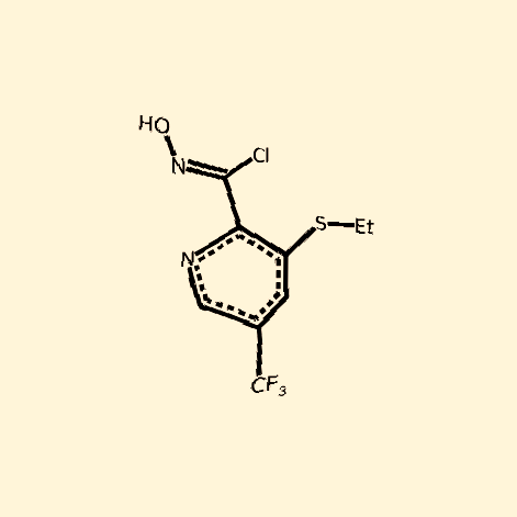 CCSc1cc(C(F)(F)F)cnc1C(Cl)=NO